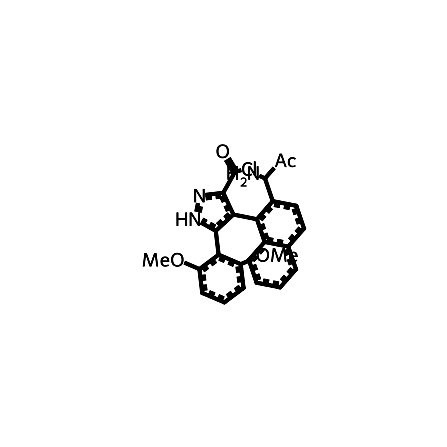 COc1cccc(OC)c1-c1[nH]nc(C(=O)Cl)c1-c1c(C(N)C(C)=O)ccc2ccccc12